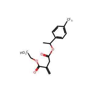 C=C(CC(=O)OC(C)c1ccc(C(F)(F)F)cc1)C(=O)OCC(=O)O